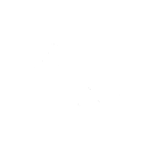 Cc1cn(-c2ccc(B3OC(C)(C)C(C)(C)O3)cc2)c(C)n1